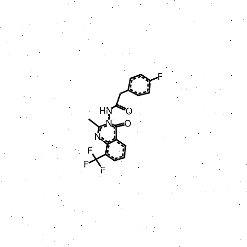 Cc1nc2c(C(F)(F)F)cccc2c(=O)n1NC(=O)Cc1ccc(F)cc1